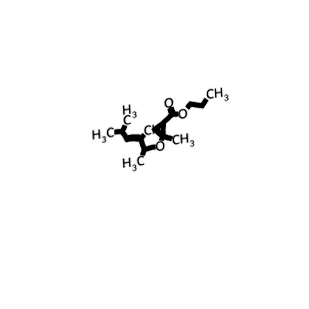 CCCOC(=O)C1CC1(C)OC(C)/C(C)=C/C(C)C